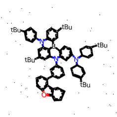 CC(C)(C)C1=CCC(N(c2ccc3c(c2)N(c2cccc(-c4cccc5oc6ccccc6c45)c2)c2cc(C(C)(C)C)cc4c2B3c2cc(C(C)(C)C)ccc2N4c2ccc(C(C)(C)C)cc2)C2C=CC(C(C)(C)C)=CC2)C=C1